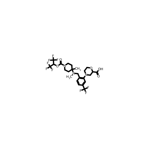 CN(Cc1ccc(C(F)(F)F)cc1N1CCOC(C(=O)O)C1)C1(C)CCN(C(=O)OC(C(F)(F)F)C(F)(F)F)CC1